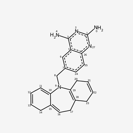 Nc1nc(N)c2cc(CN3C4=CC=CCC4=CCC4=C3CC=CC4)ccc2n1